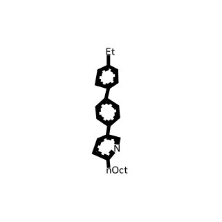 CCCCCCCCc1ccc(-c2ccc(-c3ccc(CC)cc3)cc2)cn1